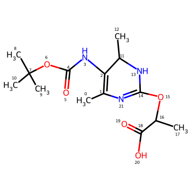 CC1=C(NC(=O)OC(C)(C)C)C(C)NC(OC(C)C(=O)O)=N1